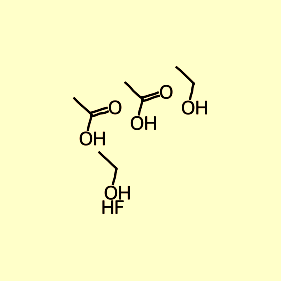 CC(=O)O.CC(=O)O.CCO.CCO.F